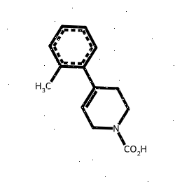 Cc1ccccc1C1=CCN(C(=O)O)CC1